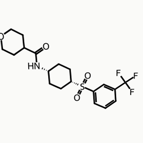 O=C(N[C@H]1CC[C@@H](S(=O)(=O)c2cccc(C(F)(F)F)c2)CC1)C1CCOCC1